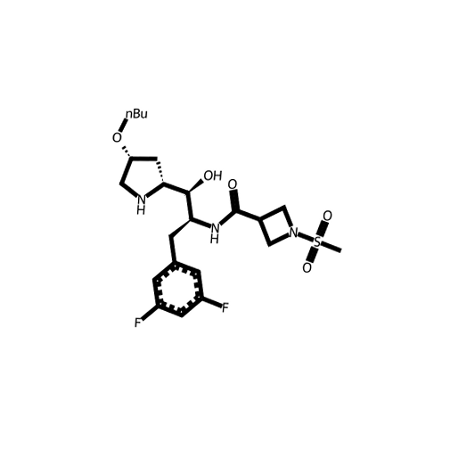 CCCCO[C@H]1CN[C@@H]([C@@H](O)[C@H](Cc2cc(F)cc(F)c2)NC(=O)C2CN(S(C)(=O)=O)C2)C1